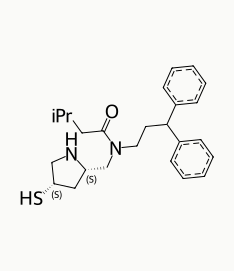 CC(C)CC(=O)N(CCC(c1ccccc1)c1ccccc1)C[C@@H]1C[C@H](S)CN1